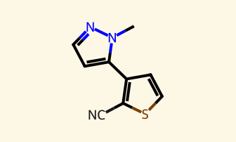 Cn1nccc1-c1ccsc1C#N